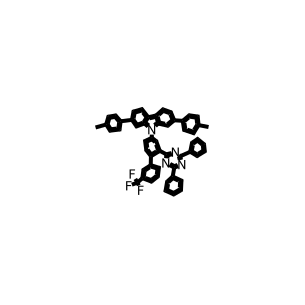 Cc1ccc(-c2ccc3c4ccc(-c5ccc(C)cc5)cc4n(-c4ccc(-c5cccc(C(F)(F)F)c5)c(-c5nc(-c6ccccc6)nc(-c6ccccc6)n5)c4)c3c2)cc1